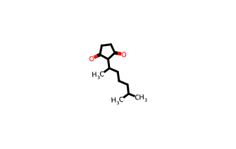 CC(C)CCCC(C)C1C(=O)CCC1=O